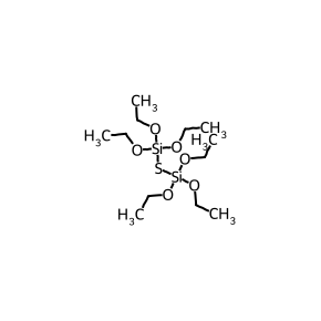 CCO[Si](OCC)(OCC)S[Si](OCC)(OCC)OCC